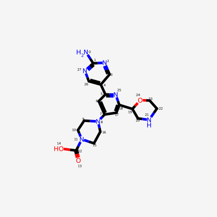 Nc1ncc(-c2cc(N3CCN(C(=O)O)CC3)cc(C3CNCCO3)n2)cn1